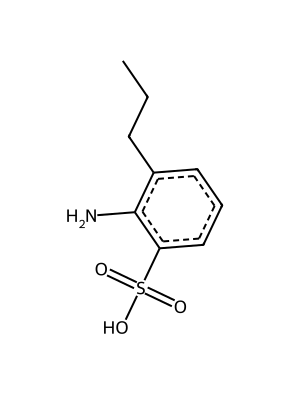 CCCc1cccc(S(=O)(=O)O)c1N